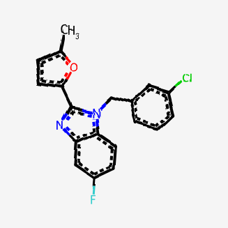 Cc1ccc(-c2nc3cc(F)ccc3n2Cc2cccc(Cl)c2)o1